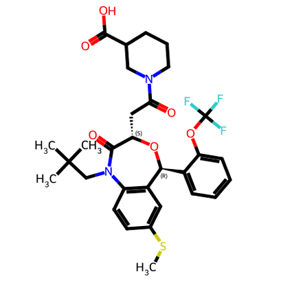 CSc1ccc2c(c1)[C@H](c1ccccc1OC(F)(F)F)O[C@@H](CC(=O)N1CCCC(C(=O)O)C1)C(=O)N2CC(C)(C)C